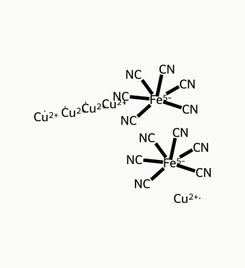 N#[C][Fe-5]([C]#N)([C]#N)([C]#N)([C]#N)[C]#N.N#[C][Fe-5]([C]#N)([C]#N)([C]#N)([C]#N)[C]#N.[Cu+2].[Cu+2].[Cu+2].[Cu+2].[Cu+2]